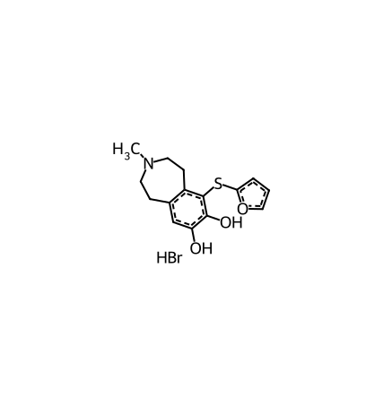 Br.CN1CCc2cc(O)c(O)c(Sc3ccco3)c2CC1